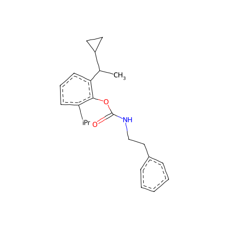 CC(C)c1cccc(C(C)C2CC2)c1OC(=O)NCCc1ccccc1